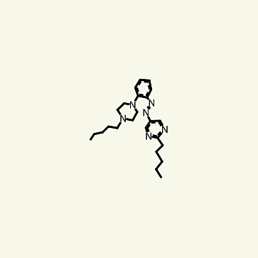 CCCCCc1ncc(N=Nc2ccccc2N2CCN(CCCCC)CC2)cn1